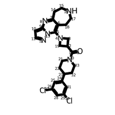 O=C(C1CN(c2c3c(nc4ccnn24)CCNCC3)C1)N1CCC(c2cc(Cl)cc(Cl)c2)CC1